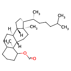 CC(C)CCC[C@@H](C)[C@H]1CC[C@H]2[C@@H]3CCC4CCCC(O[C]=O)[C@]4(C)[C@H]3CC[C@]12C